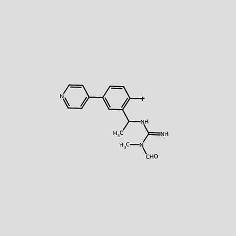 CC(NC(=N)N(C)C=O)c1cc(-c2ccncc2)ccc1F